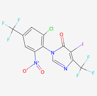 O=c1c(I)c(C(F)(F)F)ncn1-c1c(Cl)cc(C(F)(F)F)cc1[N+](=O)[O-]